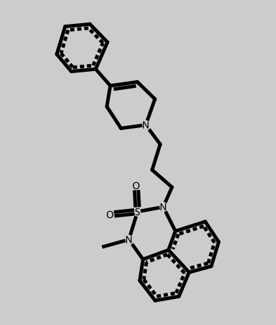 CN1c2cccc3cccc(c23)N(CCCN2CC=C(c3ccccc3)CC2)S1(=O)=O